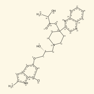 Cc1cc2cc(OC[C@H](O)CN3CCC(OC(=O)C(C)O)(c4cnc5ccccc5n4)CC3)cc(Cl)c2[nH]1